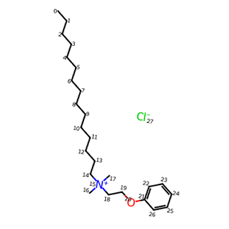 CCCCCCCCCCCCCCC[N+](C)(C)CCOc1ccccc1.[Cl-]